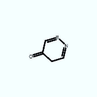 O=C1C=BN=CC1